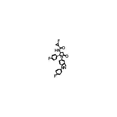 O=C(NC1CC(=O)N(c2ccc3c(cnn3-c3ccc(F)cc3)c2)[C@H]1c1ccc(F)cc1)[C@H]1C[C@H]1F